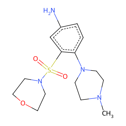 CN1CCN(c2ccc(N)cc2S(=O)(=O)N2CCOCC2)CC1